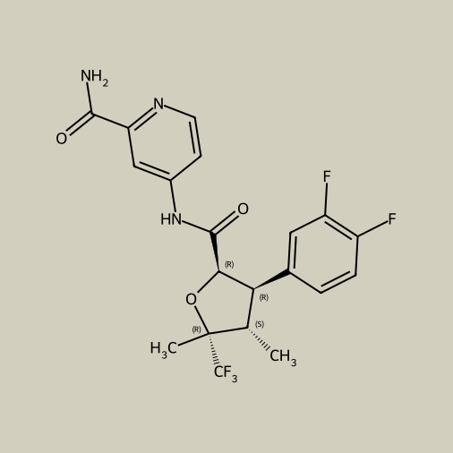 C[C@H]1[C@H](c2ccc(F)c(F)c2)[C@H](C(=O)Nc2ccnc(C(N)=O)c2)O[C@@]1(C)C(F)(F)F